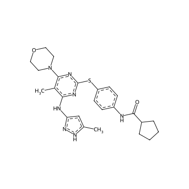 Cc1cc(Nc2nc(Sc3ccc(NC(=O)C4CCCC4)cc3)nc(N3CCOCC3)c2C)n[nH]1